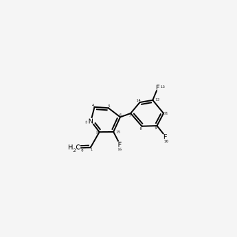 C=Cc1nccc(-c2cc(F)cc(F)c2)c1F